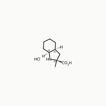 C[C@@]1(C(=O)O)C[C@@H]2CCCC[C@@H]2N1.Cl